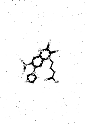 O=C(O)CCCn1c(=O)c(=O)[nH]c2cc([N+](=O)[O-])c(-n3ccnc3)cc21